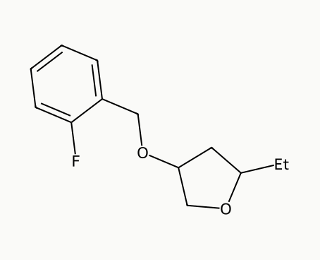 CCC1CC(OCc2ccccc2F)CO1